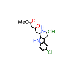 COC(=O)CC(=O)CC1NCCc2c1[nH]c1ccc(Cl)cc21.Cl